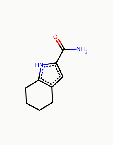 NC(=O)c1cc2c([nH]1)CCCC2